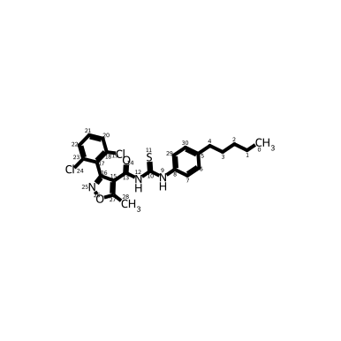 CCCCCc1ccc(NC(=S)NC(=O)c2c(-c3c(Cl)cccc3Cl)noc2C)cc1